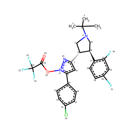 CC(C)(C)N1C[C@@H](c2cc(-c3ccc(Cl)cc3)n(OC(=O)C(F)(F)F)n2)[C@H](c2ccc(F)cc2F)C1